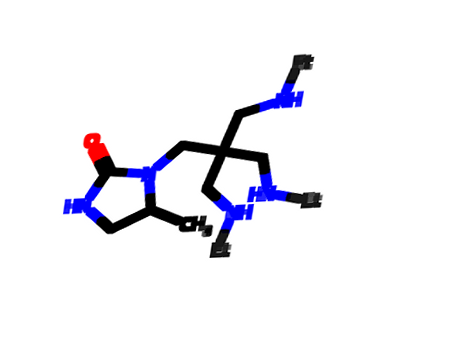 CCNCC(CNCC)(CNCC)CN1C(=O)NCC1C